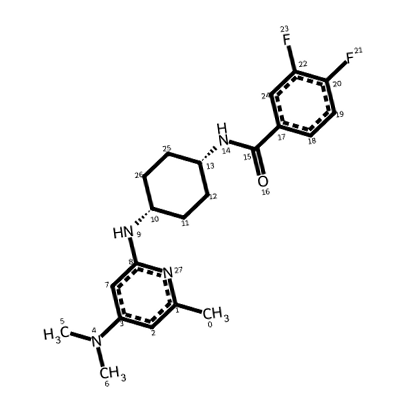 Cc1cc(N(C)C)cc(N[C@H]2CC[C@@H](NC(=O)c3ccc(F)c(F)c3)CC2)n1